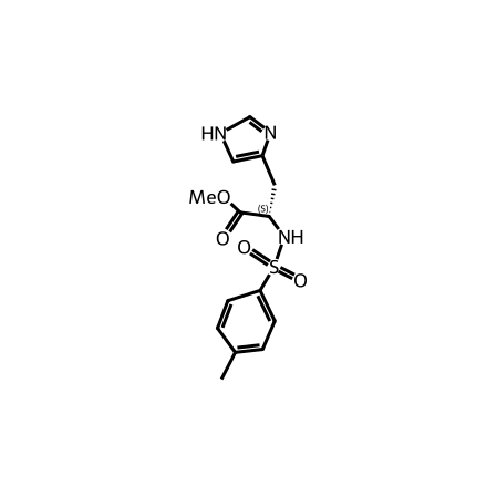 COC(=O)[C@H](Cc1c[nH]cn1)NS(=O)(=O)c1ccc(C)cc1